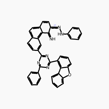 N=C1/C(=N\Nc2ccccc2)C=Cc2ccc3ccc(-c4nc(-c5ccccc5)nc(-c5cccc6oc7ccccc7c56)n4)cc3c21